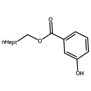 CCCCCCCCOC(=O)c1cccc(O)c1